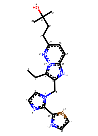 CCc1c(Cn2ccnc2-c2nccs2)nc2ccc(CCC(C)(C)O)nn12